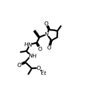 C=C(C(=O)NC(C)NC(=O)C(C)OCC)N1C(=O)CC(C)C1=O